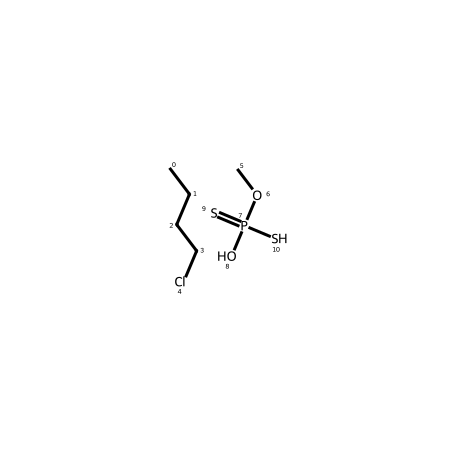 CCCCCl.COP(O)(=S)S